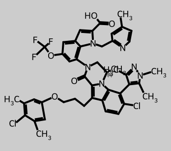 Cc1ccnc(Cn2c(C(=O)O)cc3cc(OC(F)(F)F)cc(N4C[C@@H](C)n5c(c(CCCOc6cc(C)c(Cl)c(C)c6)c6ccc(Cl)c(-c7c(C)nn(C)c7C)c65)C4=O)c32)c1